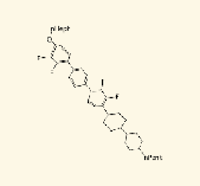 CCCCCCCOc1ccc(-c2ccc(-c3ccc(C4CCC(C5CCC(CCCCC)CC5)CC4)c(F)c3F)cc2)c(F)c1F